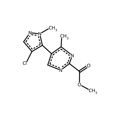 COC(=O)c1ncc(-c2c(Cl)cnn2C)c(C)n1